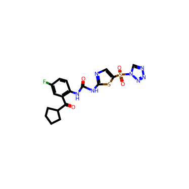 O=C(Nc1ncc(S(=O)(=O)n2cnnn2)s1)Nc1ccc(F)cc1C(=O)C1CCCC1